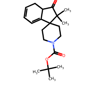 CC(C)(C)OC(=O)N1CCC2(CC1)C1=CC=CCC1C(=O)C2(C)C